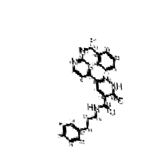 C[C@@H](Nc1nccc(-c2cc(C(=O)NCCCc3ccccc3)c(=O)[nH]n2)n1)c1ccccc1